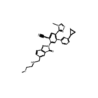 COCCNCc1ccc2c(c1)C(=O)N(c1cc(-c3cccc(C4CC4)c3)c(-c3nncn3C)cc1C#N)C2